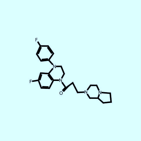 O=C(CCN1CCN2CCCC2C1)N1CCN(c2ccc(F)cc2)c2cc(F)ccc21